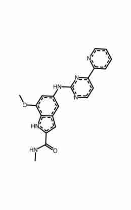 CNC(=O)c1cc2cc(Nc3nccc(-c4ccccn4)n3)cc(OC)c2[nH]1